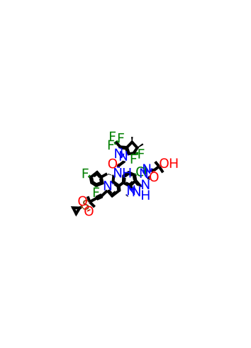 C[C@@H]1c2c(C(F)(F)F)nn(CC(=O)N[C@@H](Cc3cc(F)cc(F)c3)c3nc(C#CC(C)(C)S(=O)(=O)C4CC4)ccc3-c3ccc(Cl)c4c(Nc5nnc(C(C)(C)O)o5)nn(C)c34)c2C(F)(F)[C@@H]1C